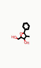 CC1C(c2ccccc2)OC(CO)C1O